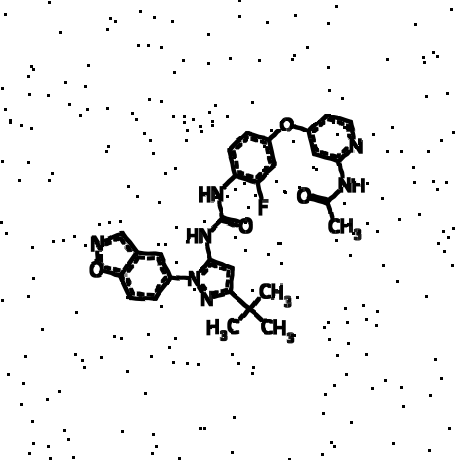 CC(=O)Nc1cc(Oc2ccc(NC(=O)Nc3cc(C(C)(C)C)nn3-c3ccc4oncc4c3)c(F)c2)ccn1